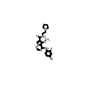 COc1c(C(=O)NCCN2CCCC2)cn2ncnc(Nc3ccc(Br)cc3F)c12